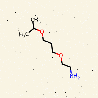 CC(C)OCCCOCCN